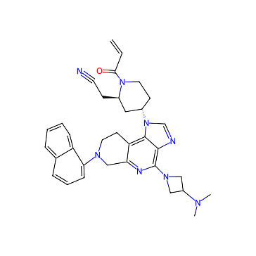 C=CC(=O)N1CC[C@H](n2cnc3c(N4CC(N(C)C)C4)nc4c(c32)CCN(c2cccc3ccccc23)C4)C[C@H]1CC#N